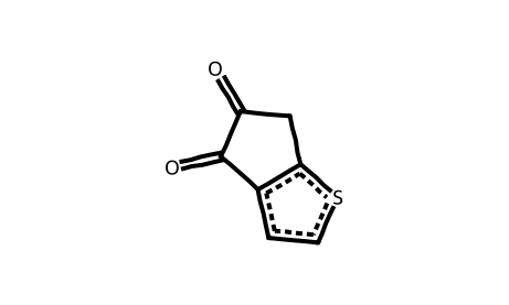 O=C1Cc2sccc2C1=O